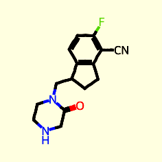 N#Cc1c(F)ccc2c1CCC2CN1CCNCC1=O